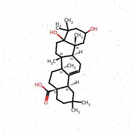 CC1(C)CC[C@]2(C(=O)O)CC[C@]3(C)C(=CC[C@@H]4[C@@]5(C)CC(O)CC(C)(C)C5(O)CC[C@]43C)[C@H]2C1